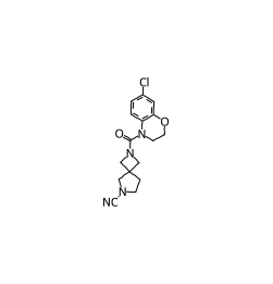 N#CN1CCC2(C1)CN(C(=O)N1CCOc3cc(Cl)ccc31)C2